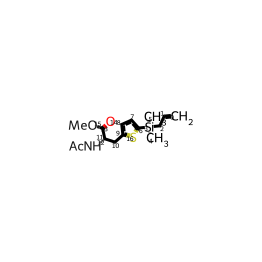 C=CC[Si](C)(C)c1ccc(C[C@H](NC(C)=O)C(=O)OC)s1